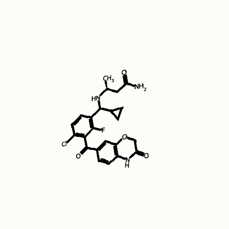 C[C@@H](CC(N)=O)NC(c1ccc(Cl)c(C(=O)c2ccc3c(c2)OCC(=O)N3)c1F)C1CC1